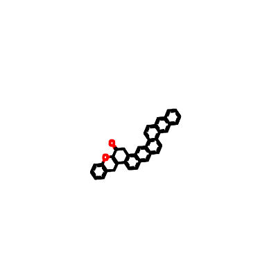 O=C1Cc2c(ccc3cc4ccc5c6cc7ccccc7cc6ccc5c4cc23)C2=C1Oc1ccccc1C2